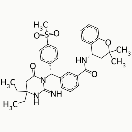 CCC1(CC)CC(=O)N([C@H](c2ccc(S(C)(=O)=O)cc2)c2cccc(C(=O)N[C@H]3CC(C)(C)Oc4ccccc43)c2)C(=N)N1